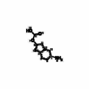 Nc1ccc2sc(OC(=O)O)cc2c1